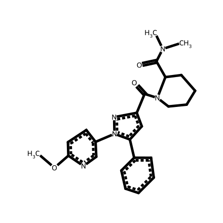 COc1ccc(-n2nc(C(=O)N3CCCCC3C(=O)N(C)C)cc2-c2ccccc2)cn1